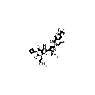 CCCn1c(=O)n(C2CCC2)c(=O)c2[nH]c(-c3cc(N(CCF)C(=O)c4ccc(C(F)(F)F)nc4)nn3C)nc21